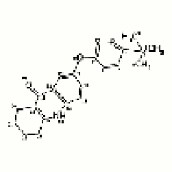 CC(C)(C)c1ccc(Oc2ccc3[nH]c4c(c(=O)c3c2)CCCC4)cc1